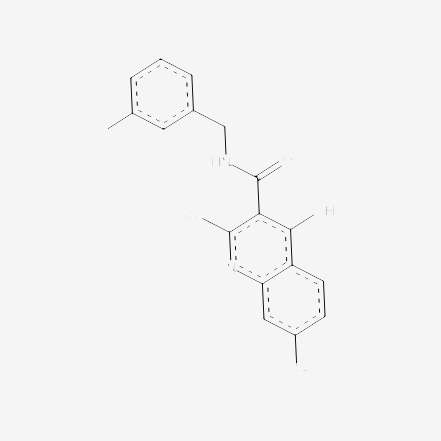 Cc1c(C(=O)NCc2cccc(F)c2)c(C(C)C)nc2cc(C(F)(F)F)ccc12